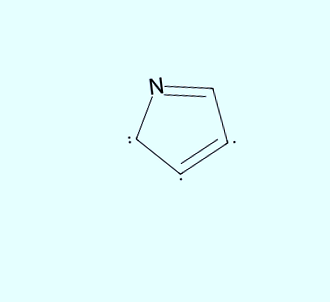 [C]1[C]=[C]C=N1